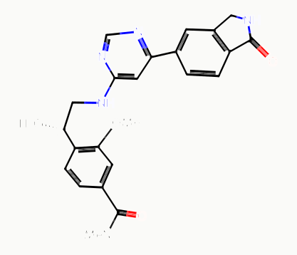 CNC(=O)c1ccc([C@H](C)CNc2cc(-c3ccc4c(c3)CNC4=O)ncn2)c(OC)c1